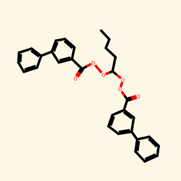 [CH2]CCC[C](OOC(=O)c1cccc(-c2ccccc2)c1)OOC(=O)c1cccc(-c2ccccc2)c1